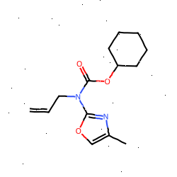 C=CCN(C(=O)OC1CCCCC1)c1nc(C)co1